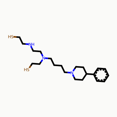 SCCNCCN(CCS)CCCCN1CCC(c2ccccc2)CC1